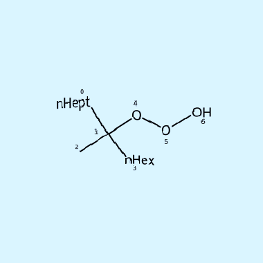 CCCCCCCC(C)(CCCCCC)OOO